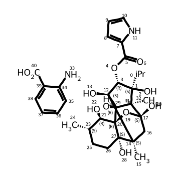 CC(C)[C@@]1(O)[C@@H](OC(=O)c2ccc[nH]2)[C@@]2(O)[C@@]3(C)C[C@]4(O)O[C@@]5([C@H](O)[C@@H](C)CC[C@]35O)[C@@]2(O)[C@@]14C.Nc1ccccc1C(=O)O